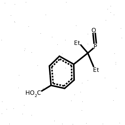 CCC(CC)(P=O)c1ccc(C(=O)O)cc1